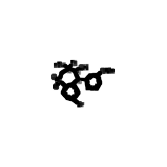 CCCC[C@]1(CC)CS(=O)(=O)c2ccc(Br)cc2[C@H](c2cccc(OC)c2)[C@@H]1O